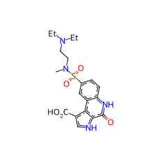 CCN(CC)CCN(C)S(=O)(=O)c1ccc2[nH]c(=O)c3[nH]cc(C(=O)O)c3c2c1